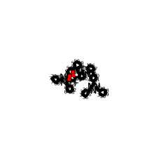 Fc1cccc(F)c1-c1ccc(-n2c3ccccc3c3ccc(-c4nc(-c5ccccc5)nc(-c5ccccc5)n4)cc32)c(C(F)(F)F)c1-n1c2ccccc2c2ccc(-c3nc(-c4ccccc4)nc(-c4ccccc4)n3)cc21